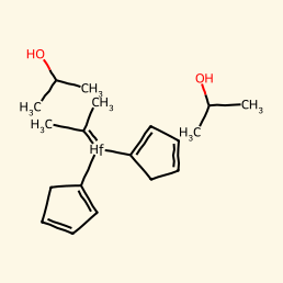 CC(C)O.CC(C)O.C[C](C)=[Hf]([C]1=CC=CC1)[C]1=CC=CC1